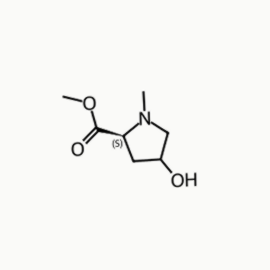 COC(=O)[C@@H]1CC(O)CN1C